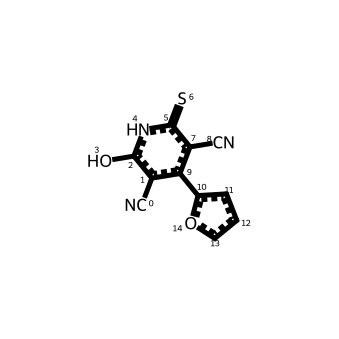 N#Cc1c(O)[nH]c(=S)c(C#N)c1-c1ccco1